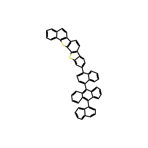 c1ccc2c(-c3c4ccccc4c(-c4ccc(-c5ccc6c(c5)sc5c6ccc6c7ccc8ccccc8c7sc65)c5ccccc45)c4ccccc34)cccc2c1